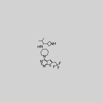 CC(C)[C@@H](N[C@@H]1CCCN(c2ncnc3sc(CC(F)(F)F)cc23)CC1)C1CNC1